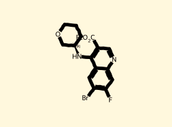 CCOC(=O)c1cnc2cc(F)c(Br)cc2c1N[C@@H]1CCCOC1